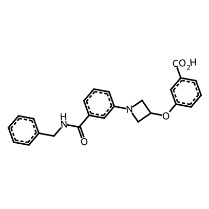 O=C(O)c1cccc(OC2CN(c3cccc(C(=O)NCc4ccccc4)c3)C2)c1